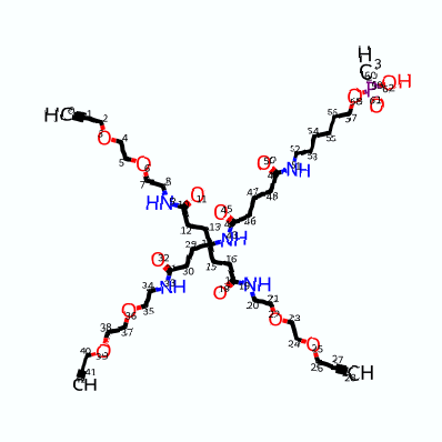 C#CCOCCOCCNC(=O)CCC(CCC(=O)NCCOCCOCC#C)(CCC(=O)NCCOCCOCC#C)NC(=O)CCCC(=O)NCCCCCCOP(C)(=O)O